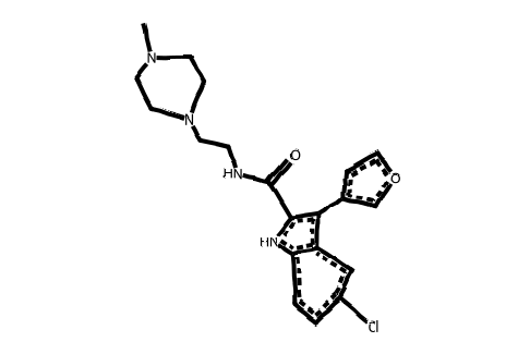 CN1CCN(CCNC(=O)c2[nH]c3ccc(Cl)cc3c2-c2ccoc2)CC1